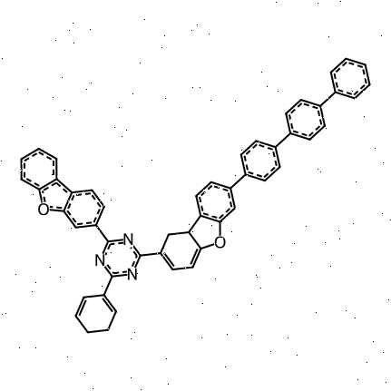 C1=CC(c2nc(C3=CC=C4Oc5cc(-c6ccc(-c7ccc(-c8ccccc8)cc7)cc6)ccc5C4C3)nc(-c3ccc4c(c3)oc3ccccc34)n2)=CCC1